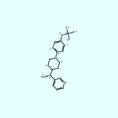 O[C@H](c1cccnc1)C1CCN(c2ccc(OC(F)(F)F)cn2)CC1